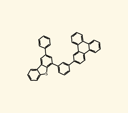 c1ccc(-c2cc(-c3cccc(-c4ccc5c6ccccc6c6ccccc6c5c4)c3)c3sc4ccccc4c3c2)cc1